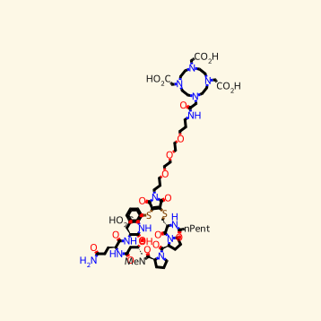 CCCCCC(=O)N[C@@H](CSC1=C(SC[C@H](NC(=O)[C@H](Cc2ccccc2)NC(=O)[C@H](CCC(N)=O)NC(=O)C[C@@H](C)O)C(=O)O)C(=O)N(CCCOCCOCCOCCCNC(=O)CN2CCN(CC(=O)O)CCN(CC(=O)O)CCN(CC(=O)O)CC2)C1=O)C(=O)N1CCC[C@H]1C(=O)N1CCC[C@H]1C(=O)NC